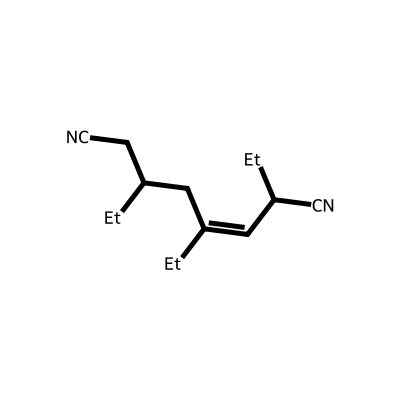 CCC(=CC(C#N)CC)CC(CC)CC#N